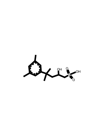 Cc1cc(C)cc(C(C)(C)CC(O)CS(=O)(=O)O)c1